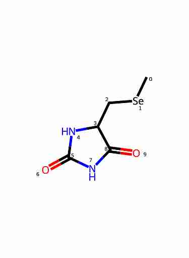 C[Se]CC1NC(=O)NC1=O